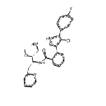 CO[C@H](CO)[C@@H](Cc1ccccn1)NC(=O)c1ccccc1-c1n[nH]c(-c2ccc(F)cc2)c1Cl